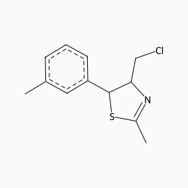 CC1=NC(CCl)C(c2cccc(C)c2)S1